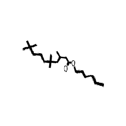 CCCCCCOC(=O)CC(C)CC(C)(C)CCCC(C)(C)C